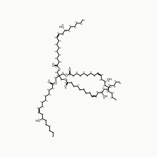 CCCCCC[C@@H](O)C/C=C\CCCCCCCC(=O)OCC(COC(=O)CCCCCCC/C=C\C[C@H](O)CCCCCC)(COC(=O)CCCCCCC/C=C\C[C@H](O)CCCCCC)COC(=O)CCCCCCC/C=C\C[C@H](O)CCCCCC